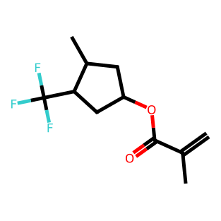 C=C(C)C(=O)OC1CC(C)C(C(F)(F)F)C1